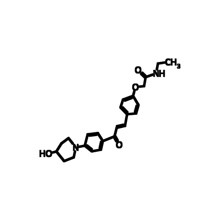 CCNC(=O)COc1ccc(C=CC(=O)c2ccc(N3CCC(O)CC3)cc2)cc1